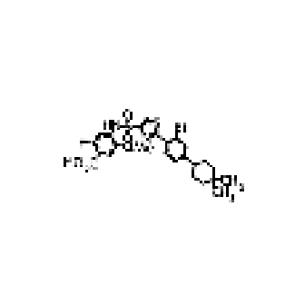 CCc1cc(C2CCC(C)(C)CC2)ccc1-c1nc(S(=O)(=O)Nc2cc(F)c(C(=O)O)cc2OC)cs1